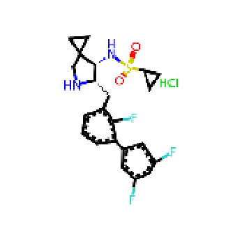 Cl.O=S(=O)(N[C@@H]1[C@H](Cc2cccc(-c3cc(F)cc(F)c3)c2F)NCC12CC2)C1CC1